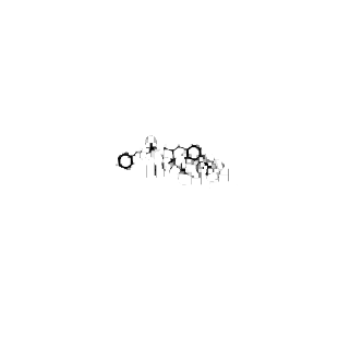 CC(C)(C)OC(=O)C(CNC(=O)OCc1ccccc1)Cc1ccc(OS(C)(=O)=O)cc1